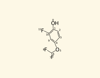 Oc1ccc(OC(F)F)cc1F